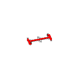 Cc1c(Sc2ccc(C#N)cc2)cc(C(=O)NCCOCCOCCOCCOCCNC(=O)CCC(=O)NCCOCCOCCOCCOCCNC(=O)c2cc(Sc3ccc(C#N)cc3)c(C)n(-c3cccc(C(F)(F)F)c3)c2=O)c(=O)n1-c1cccc(C(F)(F)F)c1